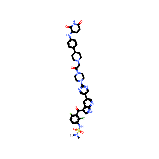 CCN(C)S(=O)(=O)Nc1ccc(F)c(C(=O)c2c[nH]c3ncc(-c4cnc(N5CCN(C(=O)CN6CCC(c7ccc(NC8CCC(=O)NC8=O)cc7)CC6)CC5)nc4)cc23)c1Cl